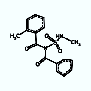 CNS(=O)(=O)N(C(=O)c1ccccc1)C(=O)c1ccccc1C